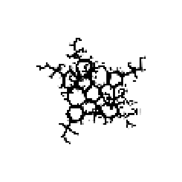 CCC(C)(C)c1cc2c(c(C(C)(C)CC)c1)-c1c3c(c4c(c1-c1c(cc(C(C)(C)CC)cc1C(C)(C)CC)C2)-c1c(cc(C(C)(C)CC)cc1C(C)(C)CC)Cc1cc(C(C)(C)CC)cc(C(C)(C)CC)c1-4)-c1c-3ccc(P(O)O)c1P(O)O